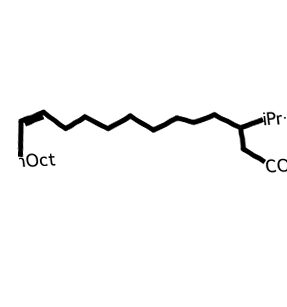 CCCCCCCC/C=C\CCCCCCCCC(CC(=O)O)[C](C)C